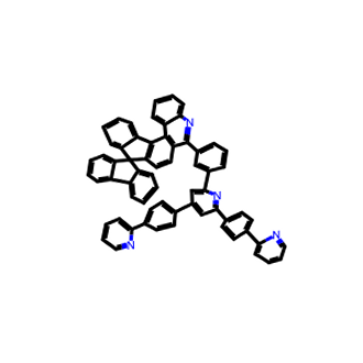 c1ccc(-c2ccc(-c3cc(-c4ccc(-c5ccccn5)cc4)nc(-c4cccc(-c5nc6ccccc6c6c7c(ccc56)C5(c6ccccc6-c6ccccc65)c5ccccc5-7)c4)c3)cc2)nc1